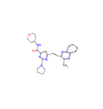 Cc1nc2ccccc2nc1/C=C/c1cc(C(=O)NC2CCOCC2)nc(N2CCCC2)n1